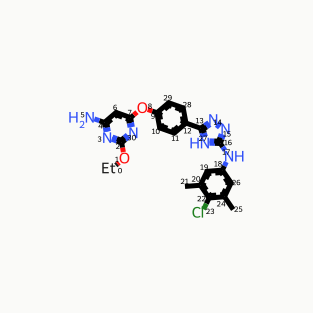 CCOc1nc(N)cc(Oc2ccc(-c3nnc(Nc4cc(C)c(Cl)c(C)c4)[nH]3)cc2)n1